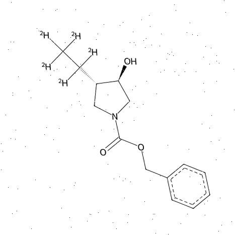 [2H]C([2H])([2H])C([2H])([2H])[C@H]1CN(C(=O)OCc2ccccc2)C[C@@H]1O